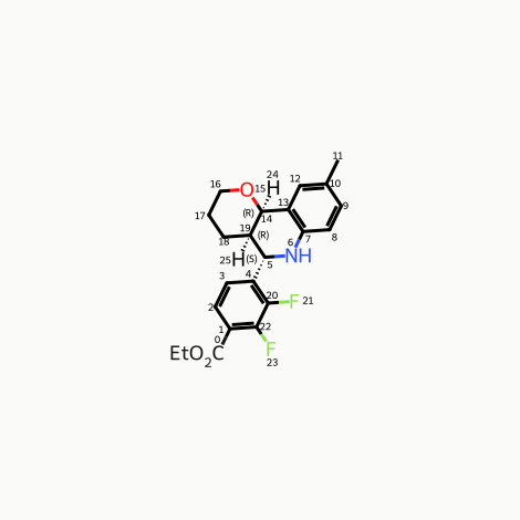 CCOC(=O)c1ccc([C@H]2Nc3ccc(C)cc3[C@@H]3OCCC[C@H]23)c(F)c1F